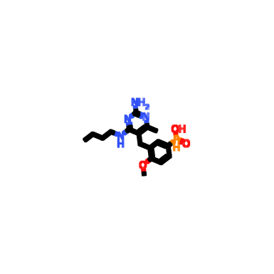 CCCCNc1nc(N)nc(C)c1Cc1cc([PH](=O)O)ccc1OC